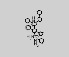 NC(OC(N)C1=C(c2ccccc2)CC(C2CC(C3=CC=CC(C4C=CC=CC4)C3)NC(C3=CCCCC3)=N2)C(C2C=CC=CC2)=C1)C1=CC=CCC1